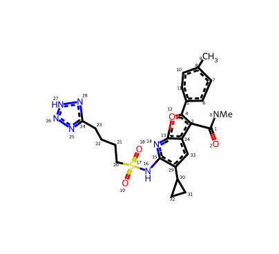 CNC(=O)c1c(-c2ccc(C)cc2)oc2nc(NS(=O)(=O)CCCCc3nn[nH]n3)c(C3CC3)cc12